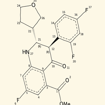 COC(=O)c1cc(F)cc2c1C(=O)[C@H](c1ccc(F)cc1F)[C@@H](C1CCOC1)N2